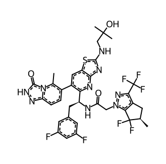 Cc1c(-c2cc3sc(NCC(C)(C)O)nc3nc2[C@H](Cc2cc(F)cc(F)c2)NC(=O)Cn2nc(C(F)(F)F)c3c2C(F)(F)[C@H](C)C3)ccc2n[nH]c(=O)n12